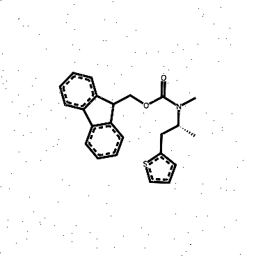 C[C@H](Cc1cccs1)N(C)C(=O)OCC1c2ccccc2-c2ccccc21